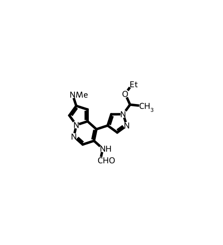 CCOC(C)n1cc(-c2c(NC=O)cnn3cc(NC)cc23)cn1